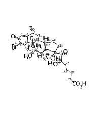 C[C@]12C=C(Br)C(=O)C=C1[C@H](F)C[C@H]1[C@@H]3CC[C@](O)(C(=O)C(O)CCCCC(=O)O)[C@@]3(C)C[C@H](O)[C@@]12F